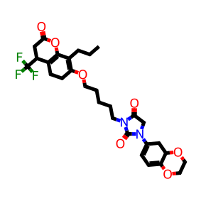 CCCC1=C(OCCCCCN2C(=O)CN(C3=CC=C4OCCOC4C3)C2=O)CCC2=C1OC(=O)CC2C(F)(F)F